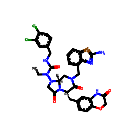 N#CCN(C(=O)NCc1ccc(Cl)c(Cl)c1)N1CC(=O)N2[C@@H](Cc3ccc4c(c3)NC(=O)CO4)C(=O)N(Cc3cccc4sc(N)nc34)C[C@@H]21